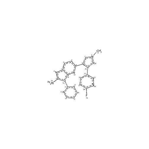 Cn1cc(-c2ccc3nc(N)c(-c4ncccn4)n3n2)c(-c2ccc(F)cc2)n1